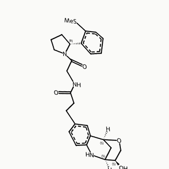 CSc1ccccc1[C@H]1CCCN1C(=O)CNC(=O)CCc1ccc2c(c1)[C@@H]1C[C@H](N2)[C@H](O)CO1